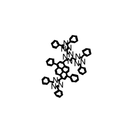 c1ccc(-c2nc(-c3ccccc3)nc(-c3nc(-c4nc(-c5ccccc5)nc(-c5ccccc5)n4)nc(-c4cc(-c5ccccc5)c5ccc6c(-c7nc(-c8ccccc8)nc(-c8ccccc8)n7)cc(-c7ccccc7)c7ccc4c5c76)n3)n2)cc1